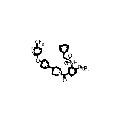 CC(C)(C)Oc1ccc(C(=O)N2CCC(c3ccc(Oc4ccc(C(F)(F)F)nn4)cc3)CC2)cc1NS(=O)(=O)Cc1ccccc1